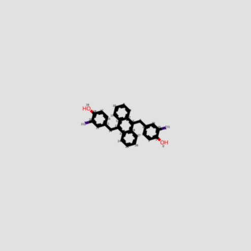 Oc1ccc(Cc2c3ccccc3c(Cc3ccc(O)c(I)c3)c3ccccc23)cc1I